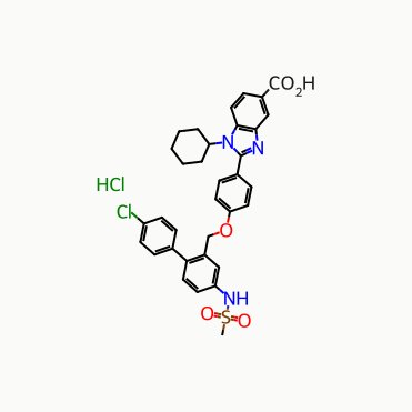 CS(=O)(=O)Nc1ccc(-c2ccc(Cl)cc2)c(COc2ccc(-c3nc4cc(C(=O)O)ccc4n3C3CCCCC3)cc2)c1.Cl